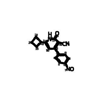 N#Cc1c(-c2ccc(N=O)cc2)cc(C2CCC2)[nH]c1=O